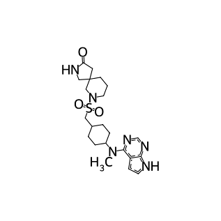 CN(c1ncnc2[nH]ccc12)C1CCC(CS(=O)(=O)N2CCCC3(CNC(=O)C3)C2)CC1